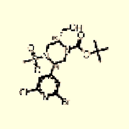 CC(C)(C)OC(=O)N1C[C@@H](c2cc(Cl)nc(Br)c2)N(S(C)(=O)=O)C[C@@H]1CO